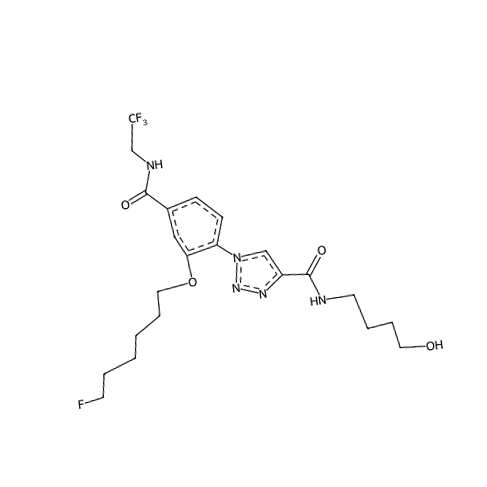 O=C(NCC(F)(F)F)c1ccc(-n2cc(C(=O)NCCCCO)nn2)c(OCCCCCCF)c1